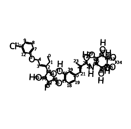 CCC(=CCOc1cccc(Cl)c1)[C@H]1O[C@@H](Oc2ccc(C=C(C)C(=O)N[C@@H]3[C@H](O)[C@@H](O)[C@H]4OCO[C@H]4[C@@H]3O)cc2O)[C@@H](F)[C@@H]1O